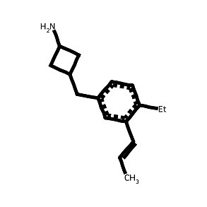 C/C=C/c1cc(CC2CC(N)C2)ccc1CC